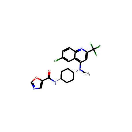 CN(c1cc(C(F)(F)F)nc2ccc(Cl)cc12)[C@H]1CC[C@@H](NC(=O)c2cnco2)CC1